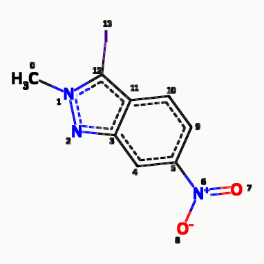 Cn1nc2cc([N+](=O)[O-])ccc2c1I